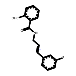 O=Cc1ccccc1C(=O)NC/C=C/c1cccc(F)c1